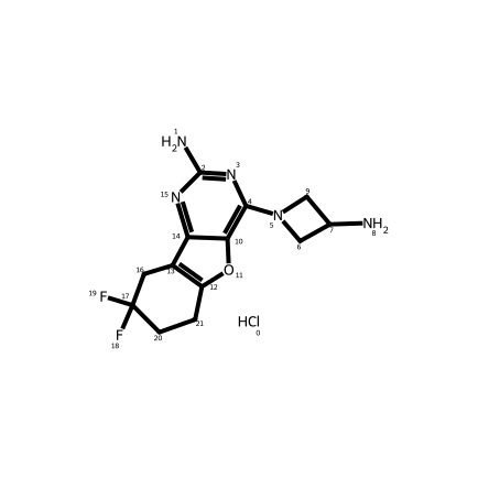 Cl.Nc1nc(N2CC(N)C2)c2oc3c(c2n1)CC(F)(F)CC3